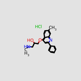 CNCC(O)COc1cc(-c2ccccc2)nc2cc(C)ccc12.Cl